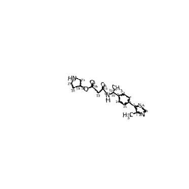 Cc1ncsc1-c1ccc([C@H](C)NC(=O)CC(=O)OC2CCNC2)cc1